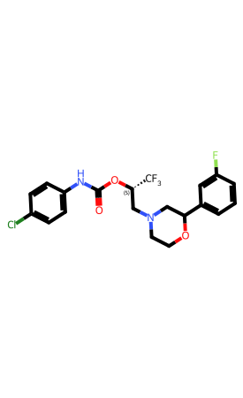 O=C(Nc1ccc(Cl)cc1)O[C@@H](CN1CCOC(c2cccc(F)c2)C1)C(F)(F)F